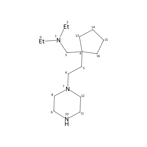 CCN(CC)CC1(CCN2CCNCC2)CCCC1